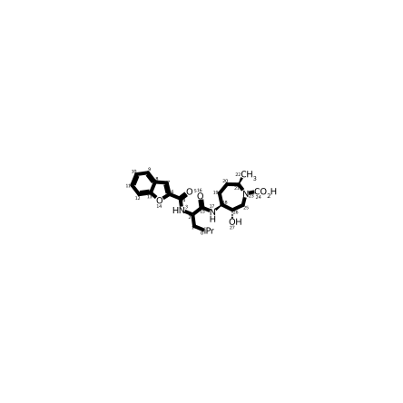 CC(C)CC(NC(=O)c1cc2ccccc2o1)C(=O)N[C@H]1CC[C@@H](C)N(C(=O)O)C[C@@H]1O